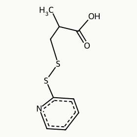 CC(CSSc1ccccn1)C(=O)O